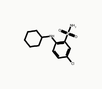 NS(=O)(=O)c1cc(Cl)ccc1NC1CCCCC1